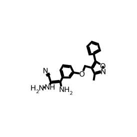 Cc1noc(-c2ccccc2)c1COc1cccc(/C(N)=C(\C#N)NN)c1